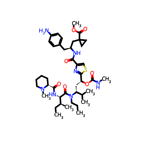 CCCN(C(=O)[C@@H](NC(=O)[C@H]1CCCCN1C)[C@@H](C)CC)[C@H](C[C@@H](OC(=O)NC)c1nc(C(=O)N[C@@H](Cc2ccc(N)cc2)CC2(C(=O)OC)CC2)cs1)C(C)C